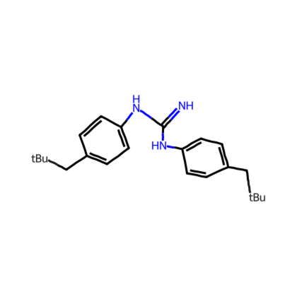 CC(C)(C)Cc1ccc(NC(=N)Nc2ccc(CC(C)(C)C)cc2)cc1